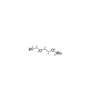 CC(C)CO[CH]COC(C)(C)C